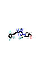 FCC1=Nc2c(C#Cc3c(F)ccc(F)c3F)n[nH]c2NC1N1CCC2(CCOC2)CC1